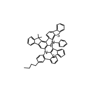 CCCCc1ccc(N2c3cc4c(c5c3B(c3c2sc2ccccc32)N(c2ccccc2)c2c-5ccc3c2sc2ccccc23)C(C)(C)c2ccccc2-4)c(-c2ccccc2)c1